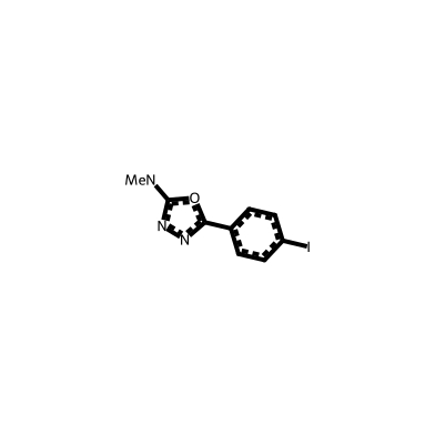 CNc1nnc(-c2ccc(I)cc2)o1